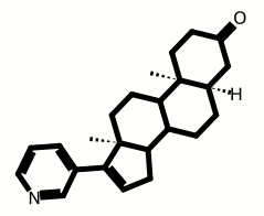 C[C@]12CCC3C(CC[C@@H]4CC(=O)CC[C@]34C)C1CC=C2c1cccnc1